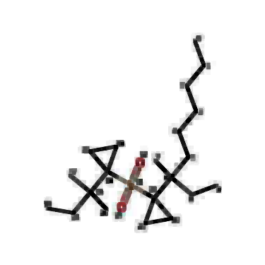 CCCCCCC(C)(CC)C1(S(=O)(=O)C2(C(C)(C)CC)CC2)CC1